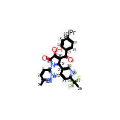 Cc1ccc(N2C(=O)C(O)=C(C(=O)c3ccc(C(C)C)cc3)C2c2ccc(C(C)(F)F)nc2)nn1